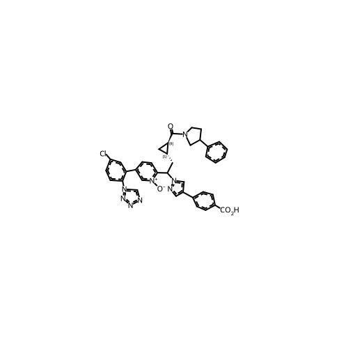 O=C(O)c1ccc(-c2cnn(C(C[C@@H]3C[C@H]3C(=O)N3CCC(c4ccccc4)C3)c3ccc(-c4cc(Cl)ccc4-n4cnnn4)c[n+]3[O-])c2)cc1